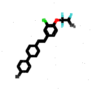 CCC1CCC(C2CCC(C=Cc3ccc(OC(F)(F)C(F)C(F)(F)F)c(Cl)c3)CC2)CC1